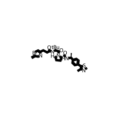 C=C(Br)/C=N\C(=C/C)CCC(=O)N[C@H](C(=O)N1CCC[C@H]1C(=O)N[C@@H](C)c1ccc(-c2scnc2C)cc1)C(C)(C)C